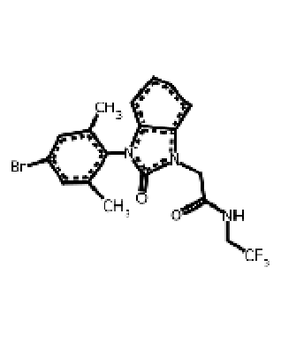 Cc1cc(Br)cc(C)c1-n1c(=O)n(CC(=O)NCC(F)(F)F)c2ccccc21